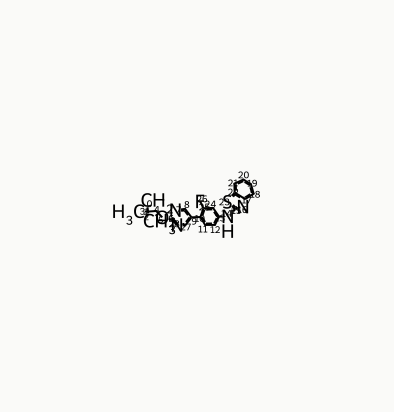 [CH2]C(C)(C)[CH]Oc1ncc(-c2ccc(Nc3nc4ccccc4s3)cc2F)cn1